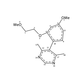 COCCOc1cc(OC)ccc1-c1c(C)ncnc1C